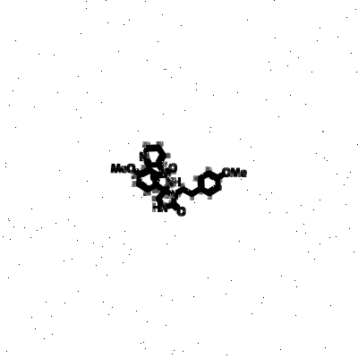 COc1ccc(CCN2C(=O)NCC2(NS(=O)(=O)c2cccnc2)c2ccc(OC)cc2)cc1